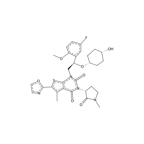 COc1ccc(F)cc1[C@H](Cn1c(=O)n([C@@H]2CCN(C)C2=O)c(=O)c2c(C)c(-c3ncco3)sc21)O[C@H]1CC[C@@H](O)CC1